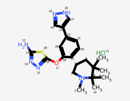 CN1CCCC(C)(C)C1(C)C.Cl.Nc1nnc(Oc2cccc(-c3cn[nH]c3)c2)s1